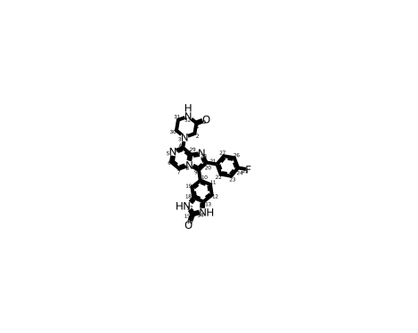 O=C1CN(c2nccn3c(-c4ccc5[nH]c(=O)[nH]c5c4)c(-c4ccc(F)cc4)nc23)CCN1